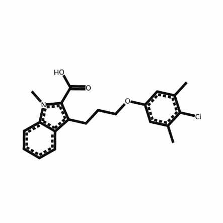 Cc1cc(OCCCc2c(C(=O)O)n(C)c3ccccc23)cc(C)c1Cl